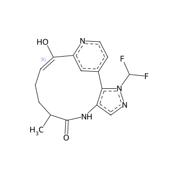 CC1CC/C=C(/O)c2cc(ccn2)-c2c(cnn2C(F)F)NC1=O